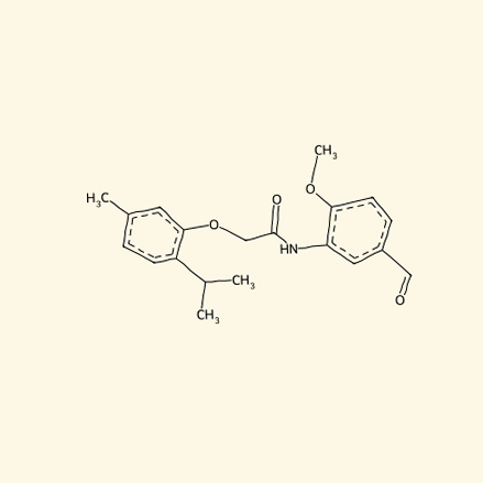 COc1ccc(C=O)cc1NC(=O)COc1cc(C)ccc1C(C)C